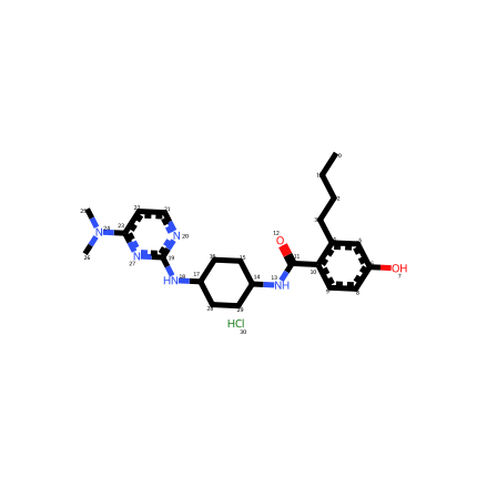 CCCCc1cc(O)ccc1C(=O)NC1CCC(Nc2nccc(N(C)C)n2)CC1.Cl